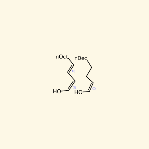 CCCCCCCC/C=C/C=C\O.CCCCCCCCCCCC/C=C\O